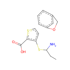 CCC(N)Sc1ccsc1C(=O)O.c1cc2cc(c1)OC2